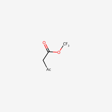 CC(=O)CC(=O)OC(F)(F)F